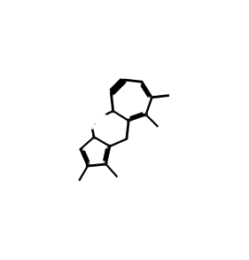 CC1=CC#CC(O)C(CC2=C(C)C(C)=CC2O)=C1C